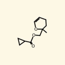 CC1(COC(=O)C2CC2)CCC=CO1